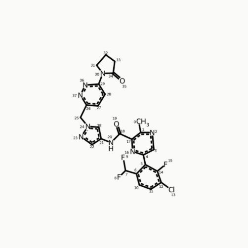 Cc1ncc(-c2c(C(F)F)ccc(Cl)c2F)nc1C(=O)Nc1cnn(Cc2ccc(N3CCCC3=O)nn2)c1